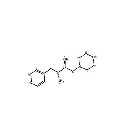 N[C@H](Cc1ccccc1)[C@@H](O)CN1CCOCC1